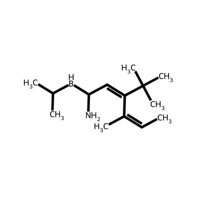 C/C=C(C)\C(=C/C(N)BC(C)C)C(C)(C)C